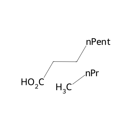 CCCC.CCCCCCCC(=O)O